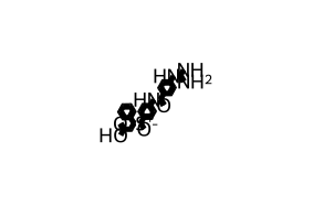 N=C(N)Nc1ccc(C(=O)Nc2ccc([S+]([O-])C(CC(=O)O)c3ccccc3)cc2)cc1